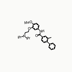 COc1ccc(NC(=O)c2ccc(-c3ccccc3)c(C)c2)cc1OCCN(C(C)C)C(C)C